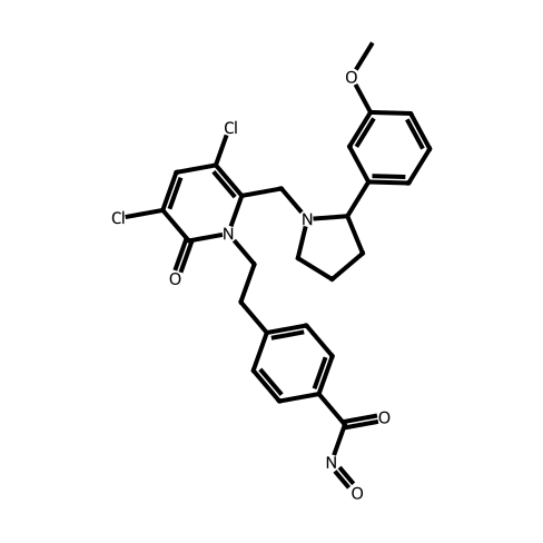 COc1cccc(C2CCCN2Cc2c(Cl)cc(Cl)c(=O)n2CCc2ccc(C(=O)N=O)cc2)c1